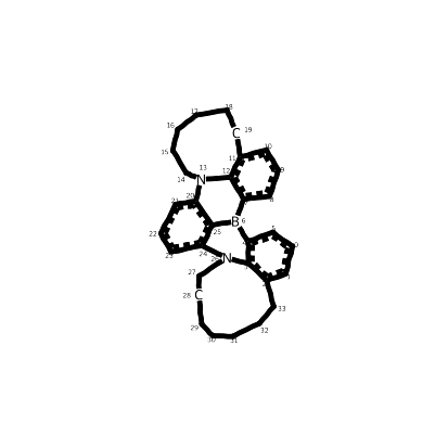 c1cc2c3c(c1)B1c4cccc5c4N(CCCCCC5)c4cccc(c41)N3CCCCCCC2